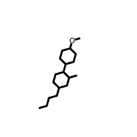 CCCCC1CCC(C2CCC(OC)CC2)C(C)C1